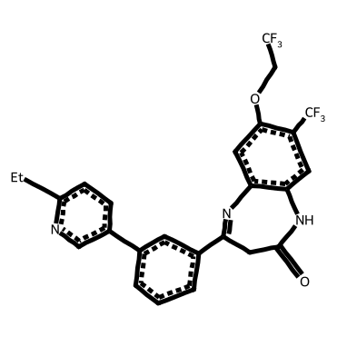 CCc1ccc(-c2cccc(C3=Nc4cc(OCC(F)(F)F)c(C(F)(F)F)cc4NC(=O)C3)c2)cn1